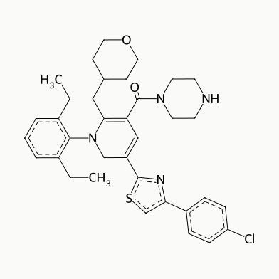 CCc1cccc(CC)c1N1CC(c2nc(-c3ccc(Cl)cc3)cs2)=CC(C(=O)N2CCNCC2)=C1CC1CCOCC1